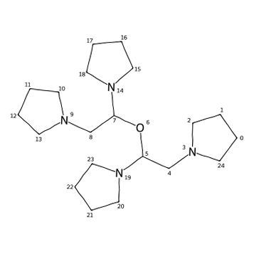 C1CCN(CC(OC(CN2CCCC2)N2CCCC2)N2CCCC2)C1